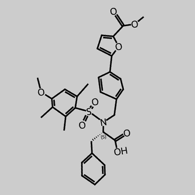 COC(=O)c1ccc(-c2ccc(CN([C@@H](Cc3ccccc3)C(=O)O)S(=O)(=O)c3c(C)cc(OC)c(C)c3C)cc2)o1